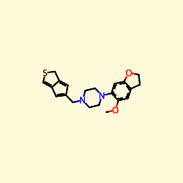 COc1cc2c(cc1N1CCN(CC3=CC4=CSCC4=C3)CC1)OCC2